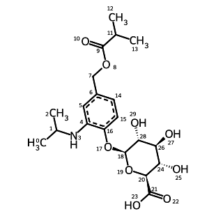 CC(C)Nc1cc(COC(=O)C(C)C)ccc1O[C@@H]1O[C@H](C(=O)O)[C@@H](O)[C@H](O)[C@H]1O